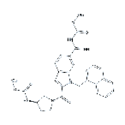 CC(C)(C)OC(=O)NC(=N)c1ccc2cc(C(=O)N3CC[C@@H](NC(=O)OC(C)(C)C)C3)n(Cc3cccc4ccccc34)c2c1